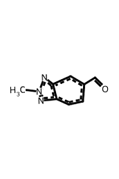 Cn1nc2ccc(C=O)cc2n1